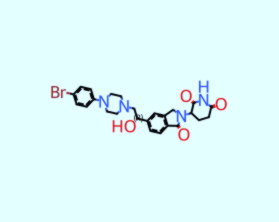 O=C1CCC(N2Cc3cc([C@@H](O)CN4CCN(c5ccc(Br)cc5)CC4)ccc3C2=O)C(=O)N1